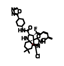 C=C(Cl)/C=C\C=C(/F)[C@H]1[C@H](C(=O)N[C@H]2CC[C@H](c3nnco3)CC2)NC2(CCC(C)(C)CC2)[C@@]12C(=O)Nc1nc(Cl)ccc12